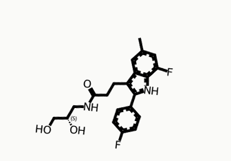 Cc1cc(F)c2[nH]c(-c3ccc(F)cc3)c(CCC(=O)NC[C@H](O)CO)c2c1